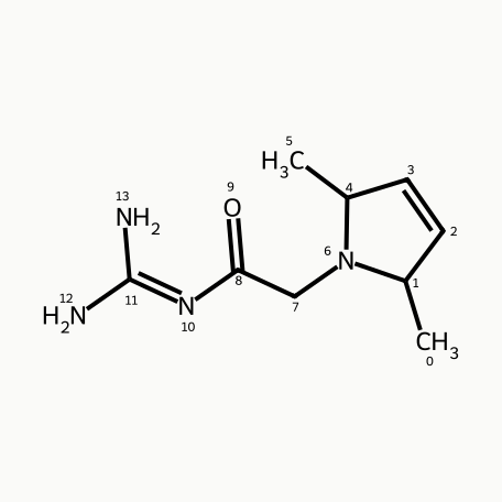 CC1C=CC(C)N1CC(=O)N=C(N)N